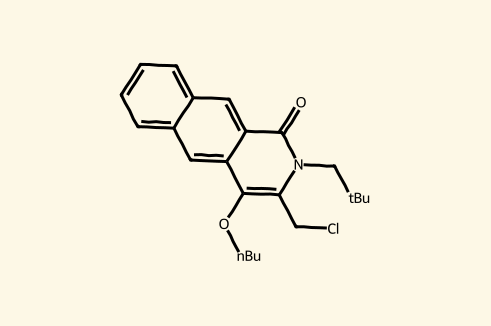 CCCCOc1c(CCl)n(CC(C)(C)C)c(=O)c2cc3ccccc3cc12